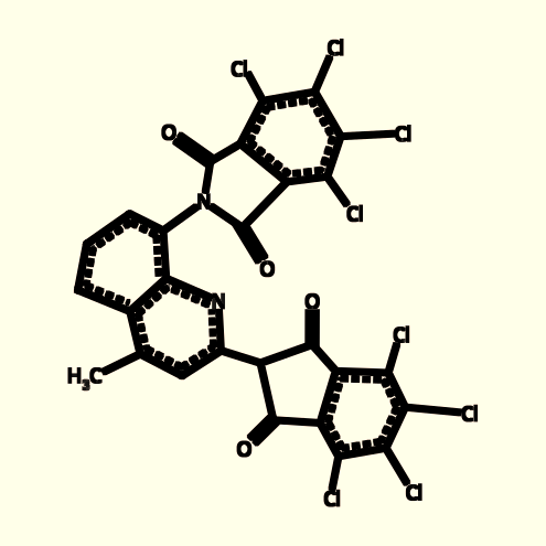 Cc1cc(C2C(=O)c3c(Cl)c(Cl)c(Cl)c(Cl)c3C2=O)nc2c(N3C(=O)c4c(Cl)c(Cl)c(Cl)c(Cl)c4C3=O)cccc12